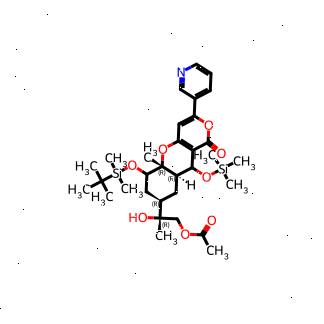 CC(=O)OC[C@](C)(O)[C@H]1CC(O[Si](C)(C)C(C)(C)C)[C@]2(C)Oc3cc(-c4cccnc4)oc(=O)c3C(O[Si](C)(C)C)[C@H]2C1